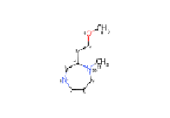 COCCC1C[N]CCCN1C